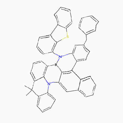 CC1(C)c2ccccc2N2c3cc4ccccc4c4c3B(c3cccc1c32)N(c1cccc2c1sc1ccccc12)c1cc(-c2ccccc2)ccc1-4